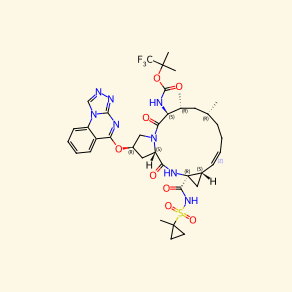 C[C@@H]1CC/C=C\[C@@H]2C[C@@]2(C(=O)NS(=O)(=O)C2(C)CC2)NC(=O)[C@@H]2C[C@@H](Oc3nc4nncn4c4ccccc34)CN2C(=O)[C@@H](NC(=O)OC(C)(C)C(F)(F)F)[C@H](C)C1